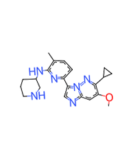 COc1cc2ncc(-c3ccc(C)c(NC4CCCNC4)n3)n2nc1C1CC1